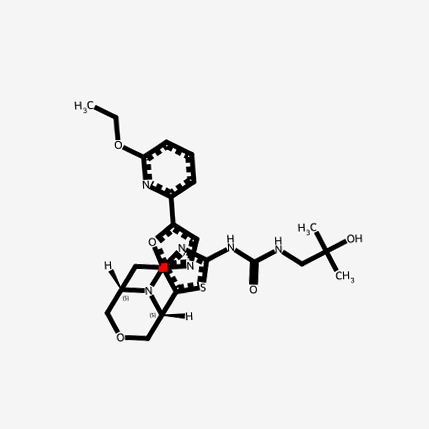 CCOc1cccc(-c2cnc(N3[C@@H]4COC[C@H]3c3sc(NC(=O)NCC(C)(C)O)nc3C4)o2)n1